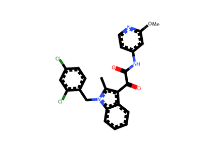 COc1cc(NC(=O)C(=O)c2c(C)n(Cc3ccc(Cl)cc3Cl)c3ccccc23)ccn1